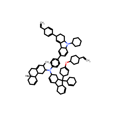 C=CC1C=CC(C2C=C3C4C=C(c5ccc(N(C6C=CC7C8CCC=CC8C(C8C=CCCC8)(C8CC=C(OC9CCC(C=C)CC9)CC8)C7C6)C6CC7C(=CC6C)CC[C@H]6CCC=CC76)cc5)C=CC4N(C4CCCCC4)C3CC2)=CC1